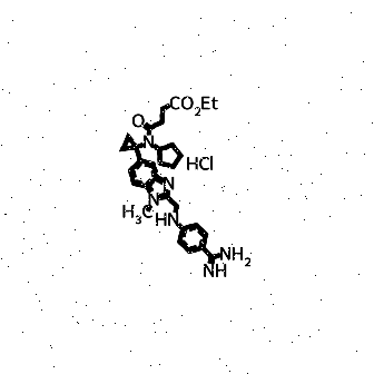 CCOC(=O)CCC(=O)N(C1CCCC1)C1(c2ccc3c(c2)nc(CNc2ccc(C(=N)N)cc2)n3C)CC1.Cl